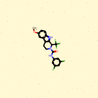 COc1ccc2[nH]c3c(c2c1)CCN(C(=O)Nc1cc(F)cc(F)c1)C3C(F)(F)F